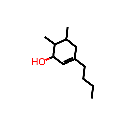 CCCCC1=CC(O)C(C)C(C)C1